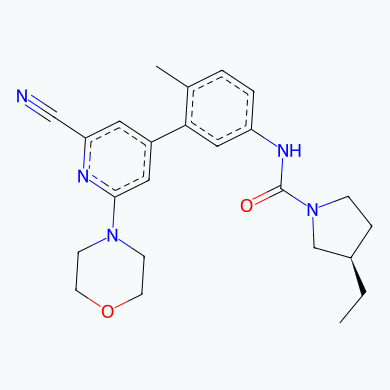 CC[C@@H]1CCN(C(=O)Nc2ccc(C)c(-c3cc(C#N)nc(N4CCOCC4)c3)c2)C1